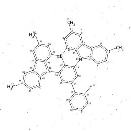 Cc1ccc2c(c1)c1cc(C)cc3c1n2-c1cc(-c2ccccc2F)cc2c1B3c1cc(C)cc3c4cc(C)ccc4n-2c13